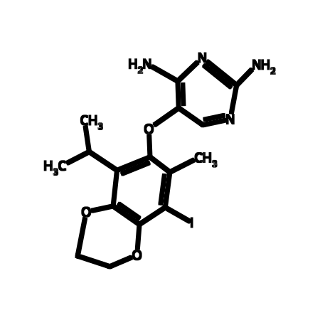 Cc1c(I)c2c(c(C(C)C)c1Oc1cnc(N)nc1N)OCCO2